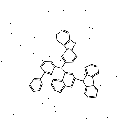 C1=Cc2sc3ccc(N(c4cccc(-c5ccccc5)c4)c4cc(-n5c6ccccc6c6ccccc65)cc5ccccc45)cc3c2CC1